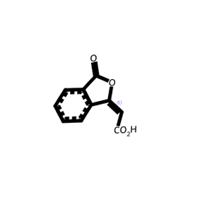 O=C(O)/C=C1/OC(=O)c2ccccc21